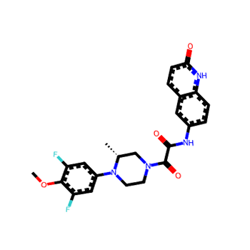 COc1c(F)cc(N2CCN(C(=O)C(=O)Nc3ccc4[nH]c(=O)ccc4c3)C[C@H]2C)cc1F